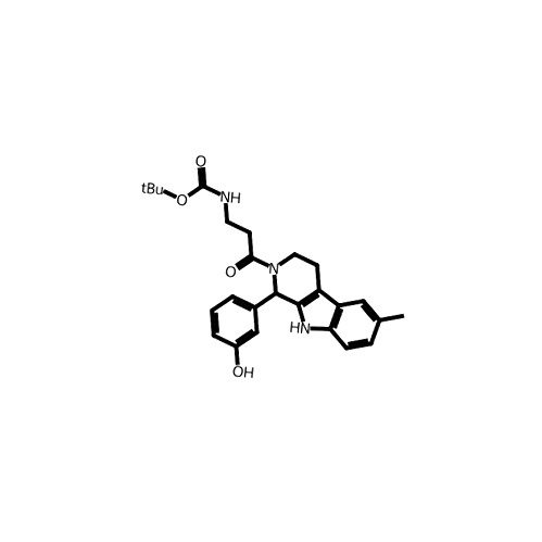 Cc1ccc2[nH]c3c(c2c1)CCN(C(=O)CCNC(=O)OC(C)(C)C)C3c1cccc(O)c1